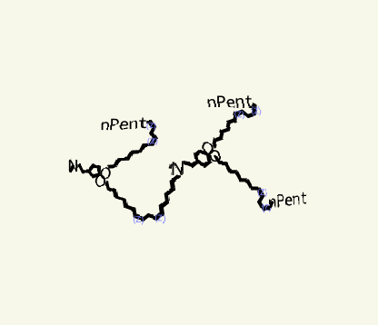 CCCCC/C=C\C/C=C\CCCCCCCOC1(OCCCCCCC/C=C\C/C=C\CCCCC)CCC(CCN(C)CCCCCC/C=C\C/C=C\CCCCCCCOC2(OCCCCCCC/C=C\C/C=C\CCCCC)CCC(CCN(C)C)C2)CC1